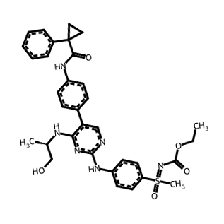 CCOC(=O)N=S(C)(=O)c1ccc(Nc2ncc(-c3ccc(NC(=O)C4(c5ccccc5)CC4)cc3)c(N[C@H](C)CO)n2)cc1